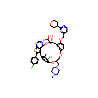 Cc1c2ccc(c1Cl)OC(CN1CCN(C)CC1)COc1ccc(OCc3ccnc(C4CCOCC4)n3)c(c1)C[C@H](C(=O)O)Oc1ncnc3sc(-c4ccc(F)cc4)c-2c13